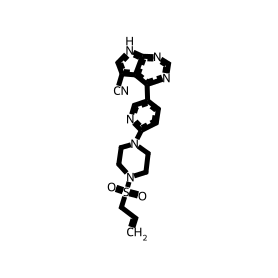 C=CCS(=O)(=O)N1CCN(c2ccc(-c3ncnc4[nH]cc(C#N)c34)cn2)CC1